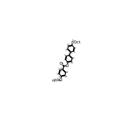 CCCCCCCCc1ccc(-c2ccc(OC(=O)c3ccc(OCCC)cc3)cc2)cc1